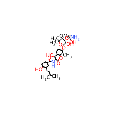 COC1[C@H](OC(N)O)C(O)[C@H](Oc2ccc3c(O)c(NC(=O)c4ccc(O)c(CC=C(C)C)c4)c(=O)oc3c2C)OC1(C)C